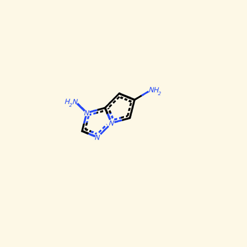 Nc1cc2n(N)cnn2c1